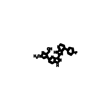 Cn1cc(-c2ccc3[nH]nc(-c4nc5c(-c6ccc(F)cc6)ccnc5[nH]4)c3n2)c(CO)n1